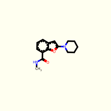 CNC(=O)c1cccc2cc(N3CCCCC3)oc12